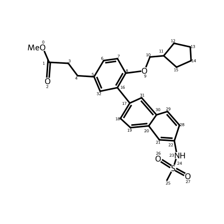 COC(=O)CCc1ccc(OCC2CCCC2)c(-c2ccc3cc(NS(C)(=O)=O)ccc3c2)c1